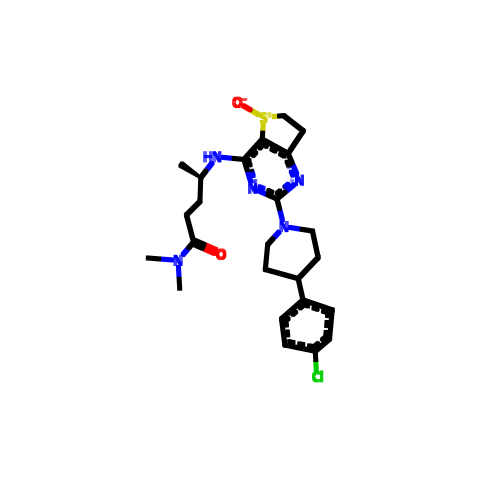 C[C@H](CCC(=O)N(C)C)Nc1nc(N2CCC(c3ccc(Cl)cc3)CC2)nc2c1[S+]([O-])CC2